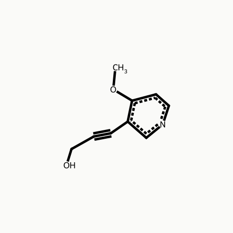 COc1ccncc1C#CCO